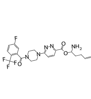 C=CCCC(N)OC(=O)c1ccc(N2CCN(C(=O)c3cc(F)ccc3C(F)(F)F)CC2)nn1